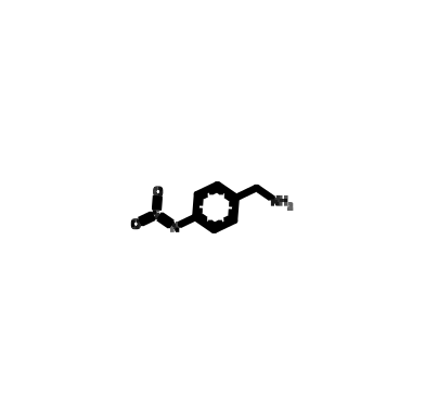 NCc1ccc(N=S(=O)=O)cc1